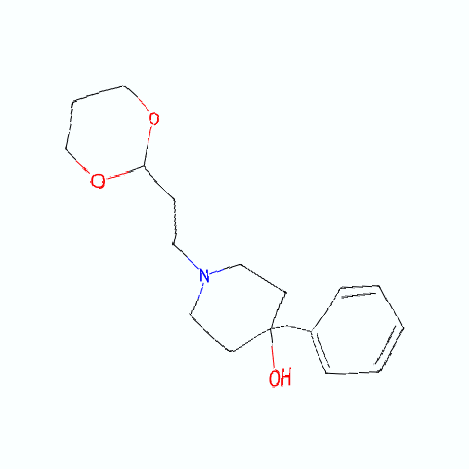 OC1(c2ccccc2)CCN(CCC2OCCCO2)CC1